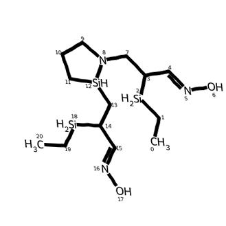 CC[SiH2]C(C=NO)CN1CCC[SiH]1CC(C=NO)[SiH2]CC